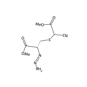 BN=N[C@@H](CSC(C#N)C(=O)OC)C(=O)OC